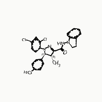 C[C@H]1C(C(=O)NN2CCc3ccccc32)=NN(c2ccc(Cl)cc2Cl)[C@@H]1c1ccc(O)cc1